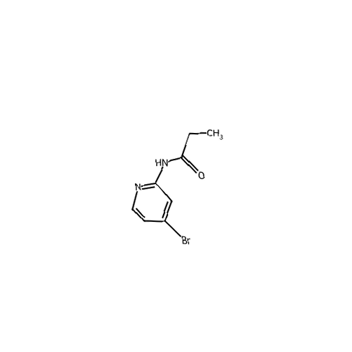 CCC(=O)Nc1cc(Br)ccn1